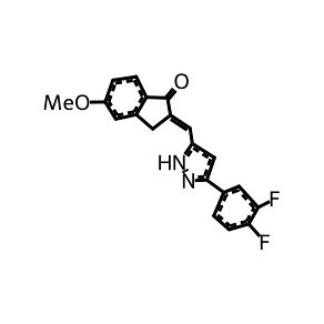 COc1ccc2c(c1)CC(=Cc1cc(-c3ccc(F)c(F)c3)n[nH]1)C2=O